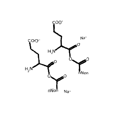 CCCCCCCCCC(=O)OC(=O)C(N)CCC(=O)[O-].CCCCCCCCCC(=O)OC(=O)C(N)CCC(=O)[O-].[Na+].[Na+]